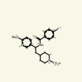 COc1ccc(C(CC2CCN(C(=O)O)CC2)NC(=O)c2ccc(F)cc2)cn1